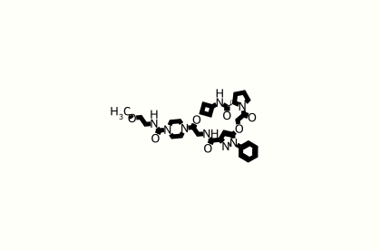 COCCNC(=O)N1CCN(C(=O)CNC(=O)c2cc(OCC(=O)N3CCC[C@H]3C(=O)NC3CCC3)n(-c3ccccc3)n2)CC1